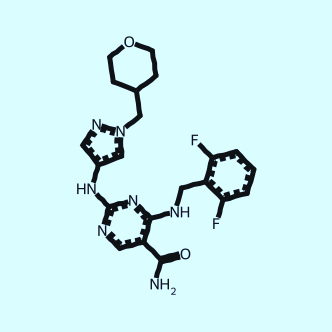 NC(=O)c1cnc(Nc2cnn(CC3CCOCC3)c2)nc1NCc1c(F)cccc1F